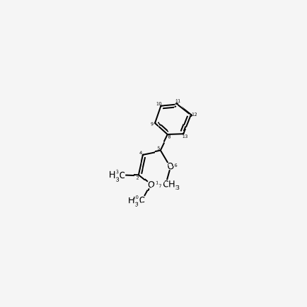 COC(C)=CC(OC)c1ccccc1